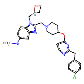 O=C(O)Nc1ccc2c(c1)nc(CN1CCC(Oc3ccnc(Cc4ccc(Cl)cc4)n3)CC1)n2C[C@@H]1CCO1